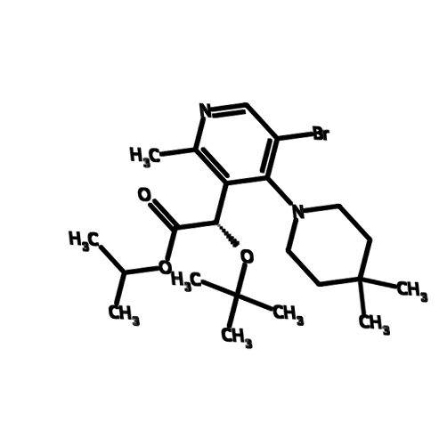 Cc1ncc(Br)c(N2CCC(C)(C)CC2)c1[C@H](OC(C)(C)C)C(=O)OC(C)C